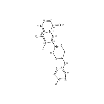 Cc1ccc(OC2CCN(c3nn4c(=O)ccnc4c(C)c3C)CC2)cc1